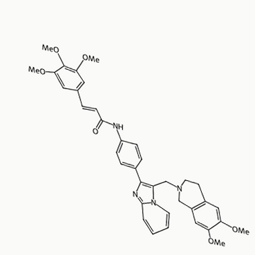 COc1cc2c(cc1OC)CN(Cc1c(-c3ccc(NC(=O)/C=C/c4cc(OC)c(OC)c(OC)c4)cc3)nc3ccccn13)CC2